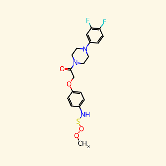 COOSNc1ccc(OCC(=O)N2CCN(c3ccc(F)c(F)c3)CC2)cc1